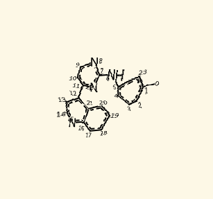 Cc1cccc(Nc2nccc(-c3ccnc4ccccc34)n2)c1